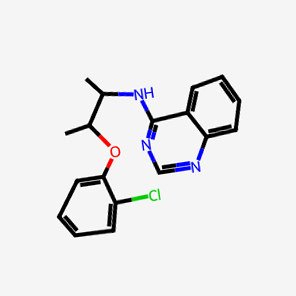 CC(Nc1ncnc2ccccc12)C(C)Oc1ccccc1Cl